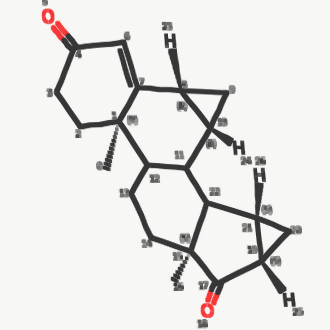 C[C@]12CCC(=O)C=C1[C@@H]1C[C@@H]1C1C2CC[C@]2(C)C(=O)[C@H]3C[C@H]3C12